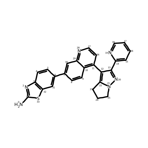 Nc1nc2ccc(-c3ccc4c(-c5c(-c6ccccn6)nn6c5CCC6)ccnc4c3)cc2s1